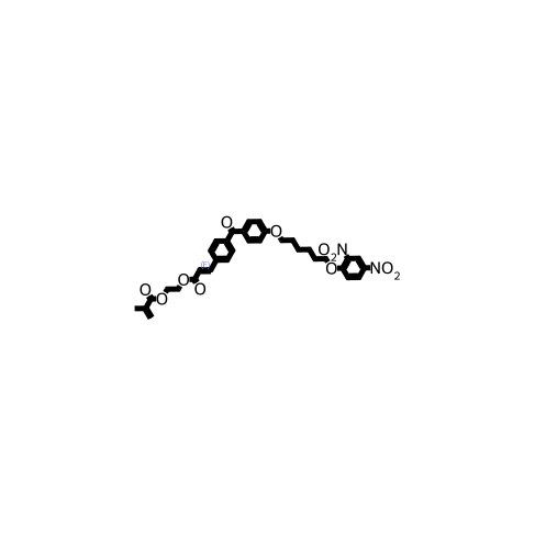 C=C(C)C(=O)OCCOC(=O)/C=C/c1ccc(C(=O)c2ccc(OCCCCCCOc3ccc([N+](=O)[O-])cc3[N+](=O)[O-])cc2)cc1